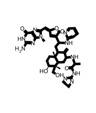 C=C1C(NC(C)C(=O)NC2=NCC=N2)CC2[C@](C)(CC[C@@H](O)[C@@]2(C)CO)C1CC(Nc1ccccn1)C1=C/C(=C\c2nc3c(=O)[nH]c(N)nc3n2C)OC1=O